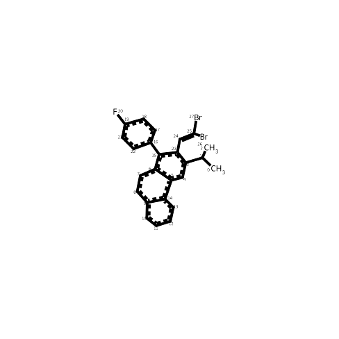 CC(C)c1cc2c(ccc3ccccc32)c(-c2ccc(F)cc2)c1C=C(Br)Br